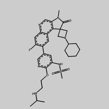 CC(C)NCCOc1ncc(-c2cc3c4c(cnc3cc2F)N(C)C(=O)C42CN(C3CCCCC3)C2)cc1NS(C)(=O)=O